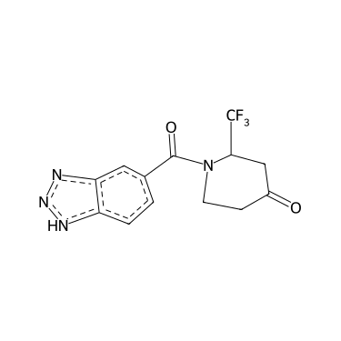 O=C1CCN(C(=O)c2ccc3[nH]nnc3c2)C(C(F)(F)F)C1